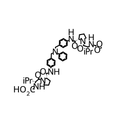 CC(C)[C@@H](NC(=O)O)C(=O)N1CCC[C@H]1C(=O)Nc1ccc(CN(Cc2ccc(NC(=O)[C@@H]3CCCN3C(=O)[C@H](NC3OCO3)C(C)C)cc2)c2ccccc2)cc1